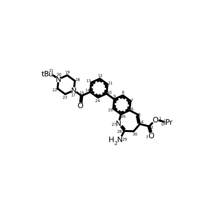 CC(C)OC(=O)C1=Cc2ccc(-c3cccc(C(=O)N4CCN(C(C)(C)C)CC4)c3)cc2N=C(N)C1